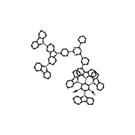 N#Cc1c(-n2c3ccccc3c3ccccc32)c(C#N)c(-n2c3ccccc3c3ccccc32)c(-n2c3ccccc3c3c(-c4cccc(-c5nc(-c6ccccc6)nc(-c6ccc(-n7c8ccc(-n9c%10ccccc%10c%10ccccc%109)cc8c8cc(-n9c%10ccccc%10c%10ccccc%109)ccc87)cc6)n5)c4)cccc32)c1-n1c2ccccc2c2ccccc21